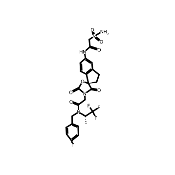 C[C@H](N(Cc1ccc(F)cc1)C(=O)CN1C(=O)O[C@@]2(CCc3cc(NC(=O)CS(N)(=O)=O)ccc32)C1=O)C(F)(F)F